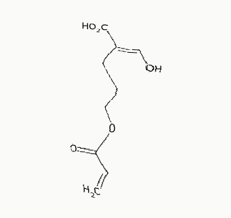 C=CC(=O)OCCCC(=CO)C(=O)O